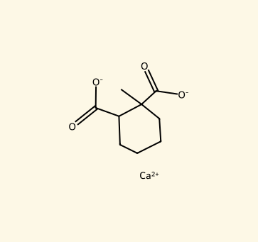 CC1(C(=O)[O-])CCCCC1C(=O)[O-].[Ca+2]